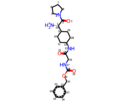 N[C@H](C(=O)N1CCCC1)C1CCC(NC(=O)CNC(=O)OCc2ccccc2)CC1